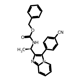 C[C@@H](NC(=O)OCc1ccccc1)c1nc2ccccn2c1-c1ccc(C#N)cc1